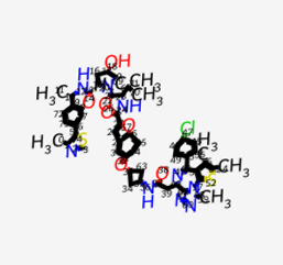 Cc1ncsc1-c1ccc([C@H](C)NC(=O)[C@@H]2C[C@@H](O)CN2C(=O)[C@@H](NC(=O)c2cc3cc(OC4CC(NC(=O)CC5N=C(c6ccc(Cl)cc6)c6c(sc(C)c6C)-n6c(C)nnc65)C4)ccc3o2)C(C)(C)C)cc1